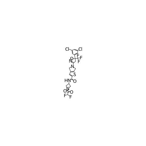 O=C(NC1CN(S(=O)(=O)C(F)F)C1)c1cc2c(s1)CN(C1=NOC(c3cc(Cl)cc(Cl)c3)(C(F)(F)F)C1)C2